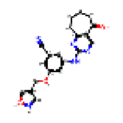 N#Cc1cc(Nc2ncc3c(n2)CCCCC3=O)cc(OCc2cnoc2)c1